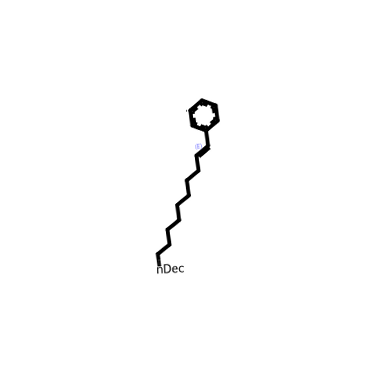 CCCCCCCCCCCCCCCCCC/C=C/c1c[c]ccc1